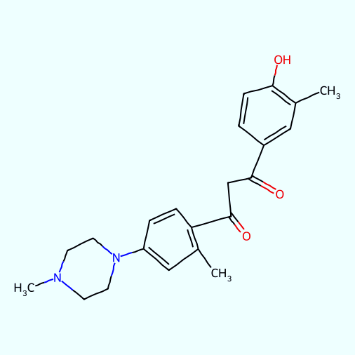 Cc1cc(C(=O)CC(=O)c2ccc(N3CCN(C)CC3)cc2C)ccc1O